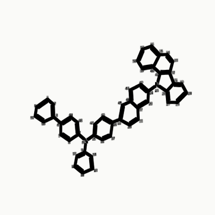 c1ccc(-c2ccc(N(c3ccccc3)c3ccc(-c4ccc5cc(-n6c7ccccc7c7ccc8ccccc8c76)ccc5c4)cc3)cc2)cc1